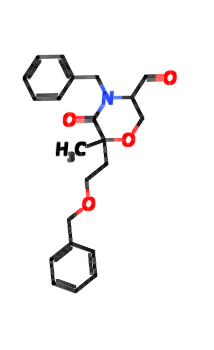 CC1(CCOCc2ccccc2)OCC(C=O)N(Cc2ccccc2)C1=O